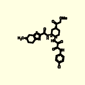 COCC(=O)N1CC[C@H](NC(=O)C(=O)Nc2ccc(Cl)cc2)[C@H](NC(=O)c2nc3c(s2)CN(C)CC3)C1